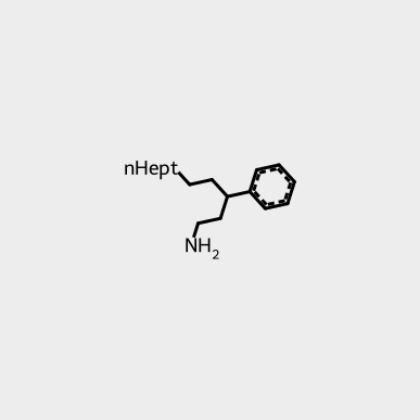 CCCCCCCCCC(CCN)c1ccccc1